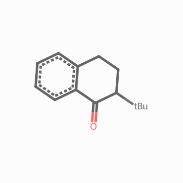 CC(C)(C)C1CCc2ccccc2C1=O